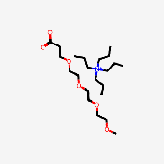 CCC[N+](CCC)(CCC)CCC.COCCOCCOCCOCCC(=O)[O-]